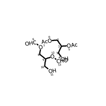 CC(=O)OCC(CO)OC(C)=O.O=COCC(CO)OC=O